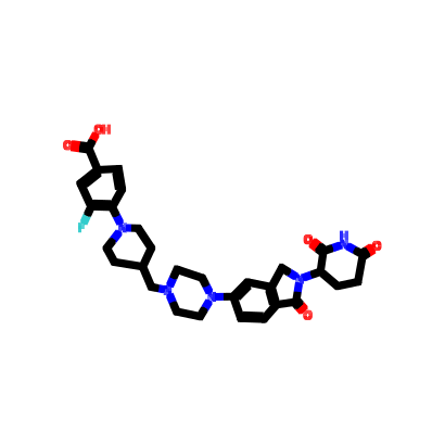 O=C1CCC(N2Cc3cc(N4CCN(CC5CCN(c6ccc(C(=O)O)cc6F)CC5)CC4)ccc3C2=O)C(=O)N1